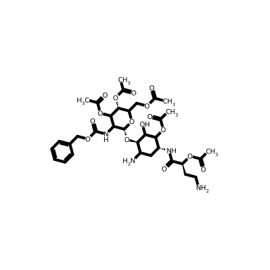 CC(=O)OCC1O[C@H](O[C@@H]2C(N)C[C@@H](NC(=O)[C@H](CCN)OC(C)=O)C(OC(C)=O)C2O)C(NC(=O)OCc2ccccc2)C(OC(C)=O)[C@@H]1OC(C)=O